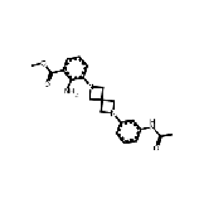 COC(=O)c1cccc(N2CC3(CN(c4cccc(NC(C)=O)c4)C3)C2)c1N